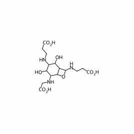 O=C(O)CCNC1OC2C(NCC(=O)O)C(O)C(NCCC(=O)O)C(O)C12